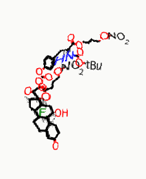 C[C@H]1CC2C3CCC4=CC(=O)C=C[C@]4(C)[C@@]3(F)[C@@H](O)C[C@]2(C)[C@@]1(OC(=O)CCCO[N+](=O)[O-])C(=O)COC(=O)Oc1ccc(C[C@H](NC(=O)OC(C)(C)C)C(=O)OCCCCO[N+](=O)[O-])cc1